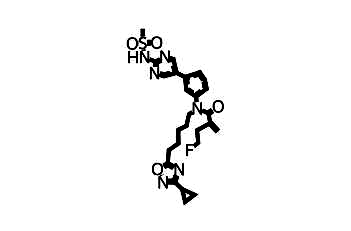 C=C(CCF)C(=O)N(CCCCCc1nc(C2CC2)no1)c1cccc(-c2cnc(NS(C)(=O)=O)nc2)c1